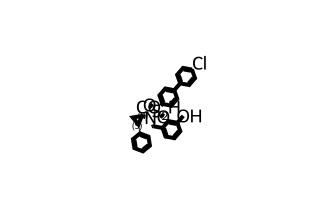 O=C(O)[C@@]1(N(Cc2cccc(O)c2)S(=O)(=O)c2ccc(-c3ccc(Cl)cc3)cc2)C[C@H]1c1ccccc1